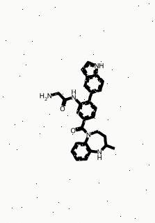 CC1CCN(C(=O)c2ccc(-c3ccc4[nH]ccc4c3)c(NC(=O)CN)c2)c2ccccc2N1